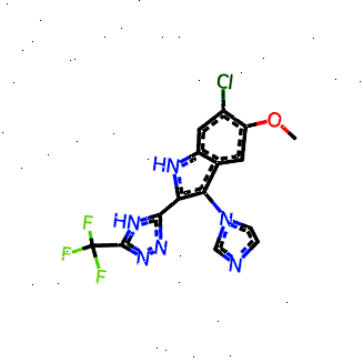 COc1cc2c(-n3ccnc3)c(-c3nnc(C(F)(F)F)[nH]3)[nH]c2cc1Cl